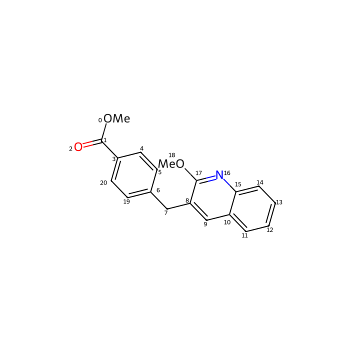 COC(=O)c1ccc(Cc2cc3ccccc3nc2OC)cc1